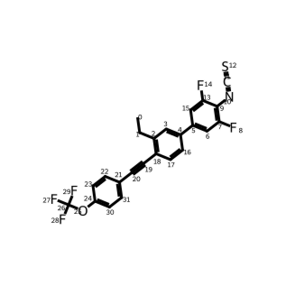 CCc1cc(-c2cc(F)c(N=C=S)c(F)c2)ccc1C#Cc1ccc(OC(F)(F)F)cc1